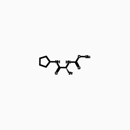 CC(C)[C@@H](NC(=O)OC(C)(C)C)C(=O)NC1CCCC1